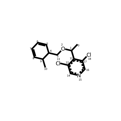 CC(OCC1C=CC=CC1C)c1c(Cl)cncc1Cl